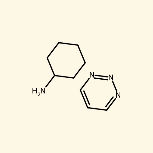 NC1CCCCC1.c1cnnnc1